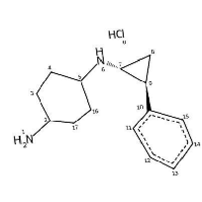 Cl.NC1CCC(N[C@@H]2C[C@H]2c2ccccc2)CC1